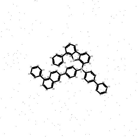 c1ccc(-c2ccc(N(c3ccc(-c4ccc5c(-c6ccccc6)cccc5c4)cc3)c3cccc4c3sc3c(-c5ccccc5)cccc34)cc2)cc1